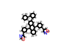 c1ccc(-c2ccccc2-c2ccc3c(-c4cccc(-c5cocn5)c4)c4ccccc4c(-c4cccc(-c5cnoc5)c4)c3c2)cc1